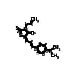 C=CCN1C(=O)/C(=C\C=C\c2ccc(N(C)C)cc2)SC1=S